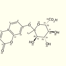 CC1(Oc2ccc3ccc(=O)oc3c2)O[C@H](C(=O)O)[C@@H](O)[C@H](O)[C@H]1O